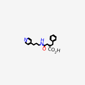 O=C(C[C@@H](Cc1ccccc1)C(=O)O)NCCCc1ccncc1